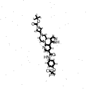 CC(C)(C)OC(=O)N1CC(N2CCN(c3ncc(C(=O)Nc4ccc(OC(F)(F)Cl)cc4)cc3-c3ccn[nH]3)CC2)C1